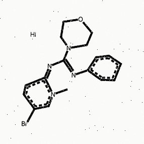 Cn1cc(Br)ccc1=NC(=Nc1ccccc1)N1CCOCC1.I